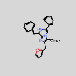 O=Cc1c(Cc2ccco2)nc2n1C=C(c1ccccc1)NC2Cc1ccccc1